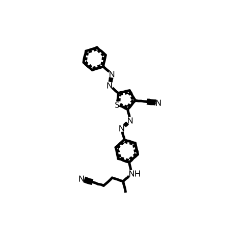 CC(CCC#N)Nc1ccc(N=Nc2sc(N=Nc3ccccc3)cc2C#N)cc1